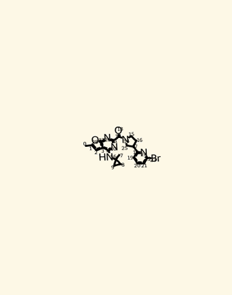 Cc1cc2c(NC3(C)CC3)nc(C(=O)N3CCC(c4cccc(Br)n4)C3)nc2o1